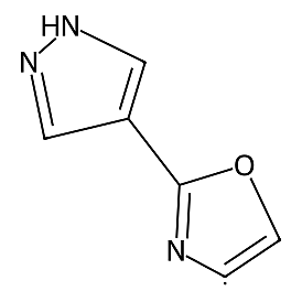 [c]1coc(-c2cn[nH]c2)n1